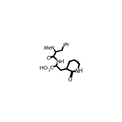 CNC(CC(C)C)C(=O)NC(CC1CCCNC1=O)C(=O)O